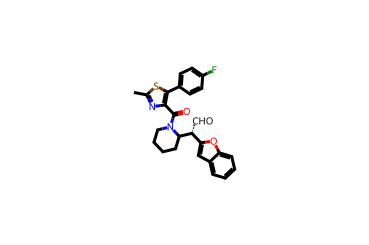 Cc1nc(C(=O)N2CCCCC2[C@H](C=O)c2cc3ccccc3o2)c(-c2ccc(F)cc2)s1